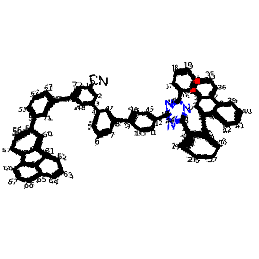 N#Cc1cc(-c2cccc(-c3ccc(-c4nc(-c5ccccc5)nc(-c5ccccc5-c5cc6ccccc6c6ccccc56)n4)cc3)c2)cc(-c2cccc(-c3ccc4c(c3)-c3cccc5cccc-4c35)c2)c1